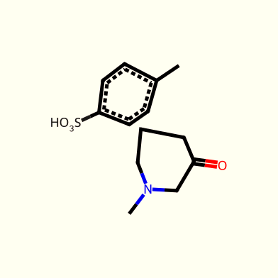 CN1CCCC(=O)C1.Cc1ccc(S(=O)(=O)O)cc1